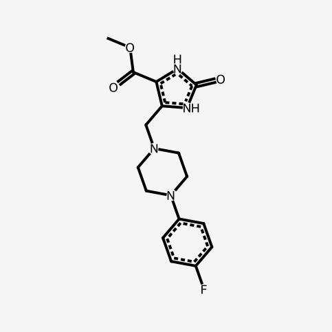 COC(=O)c1[nH]c(=O)[nH]c1CN1CCN(c2ccc(F)cc2)CC1